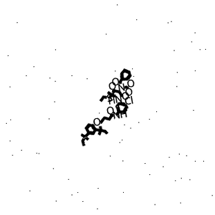 CCSC(C)(C)C(=O)C(C(=O)Nc1cc(NC(=O)CCCOc2ccc(C(C)(C)CC)cc2C(C)(C)CC)ccc1Cl)n1c(=O)oc2ccccc2c1=O